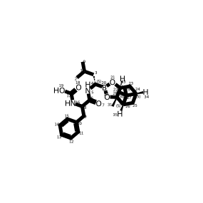 CC(C)C[C@@H](NC(=O)C(Cc1ccccc1)NC(=O)O)B1O[C@H]2C[C@@H]3C[C@@H](C3(C)C)[C@]2(C)O1